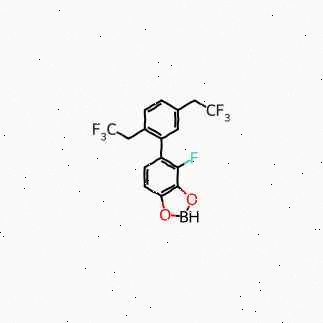 Fc1c(-c2cc(CC(F)(F)F)ccc2CC(F)(F)F)ccc2c1OBO2